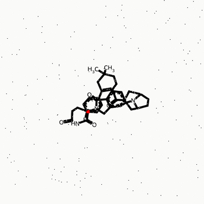 CC1(C)CCC(C(=O)N2CC3CCC(C2)N3c2ccc3c(c2)CN(C2CCC(=O)NC2=O)C3=O)=C(c2ccc(F)cc2)C1